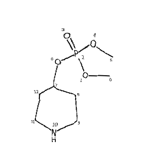 COP(=O)(OC)OC1CCNCC1